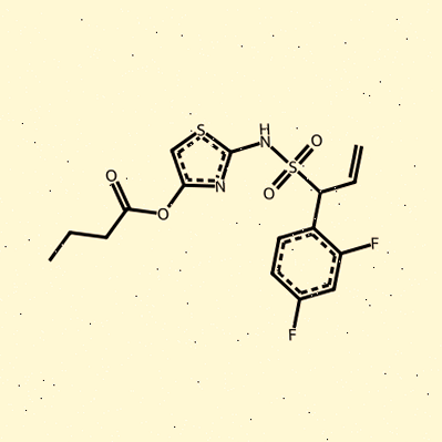 C=CC(c1ccc(F)cc1F)S(=O)(=O)Nc1nc(OC(=O)CCC)cs1